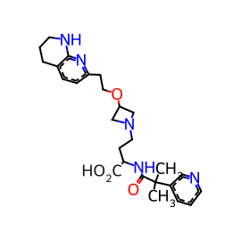 CC(C)(C(=O)NC(CCN1CC(OCCc2ccc3c(n2)NCCC3)C1)C(=O)O)c1cccnc1